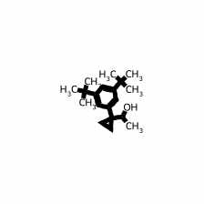 CC(O)C1(c2cc(C(C)(C)C)cc(C(C)(C)C)c2)CC1